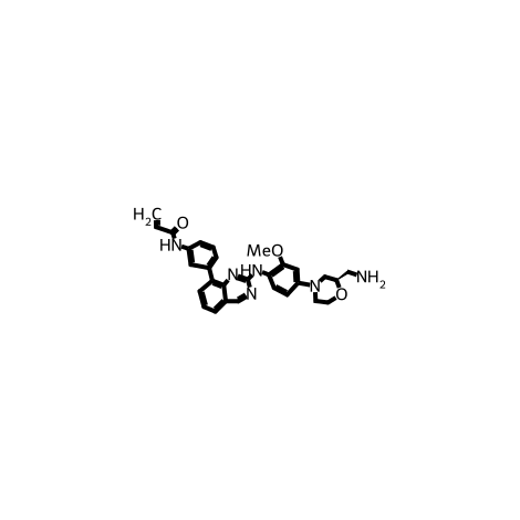 C=CC(=O)Nc1cccc(-c2cccc3cnc(Nc4ccc(N5CCO[C@H](CN)C5)cc4OC)nc23)c1